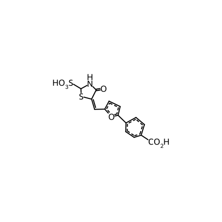 O=C1NC(S(=O)(=O)O)SC1=Cc1ccc(-c2ccc(C(=O)O)cc2)o1